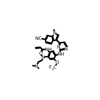 C=CC(=O)Nc1cc(Nc2nccc(-c3cn(C)c4cc(C#N)ccc34)n2)c(OC(F)(F)F)cc1N(C)CCN(C)C